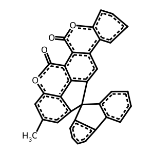 Cc1cc2c3c(c1)oc(=O)c1c3c(cc3c4ccccc4oc(=O)c31)C21c2ccccc2-c2ccccc21